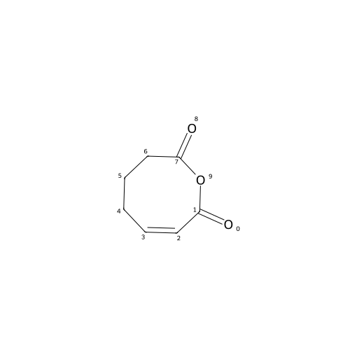 O=C1C=CCCCC(=O)O1